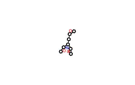 c1ccc2c(c1)oc1ccc(-c3ccc(-c4cc5c6ccc7c8ccccc8oc7c6n6c5c(c4)c4ccc5c7ccccc7oc5c46)cc3)cc12